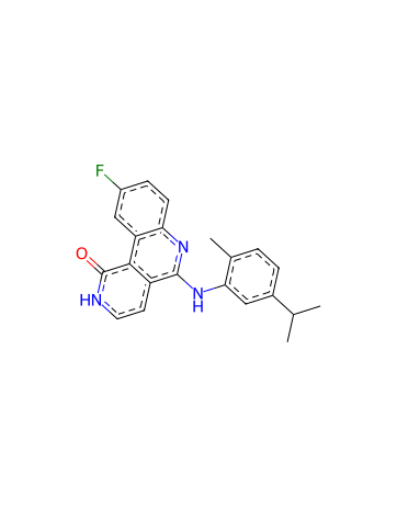 Cc1ccc(C(C)C)cc1Nc1nc2ccc(F)cc2c2c(=O)[nH]ccc12